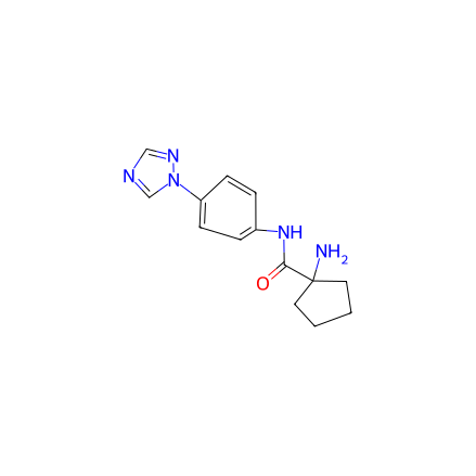 NC1(C(=O)Nc2ccc(-n3cncn3)cc2)CCCC1